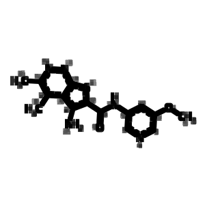 COc1cncc(NC(=O)c2sc3nnc(C)c(C)c3c2N)c1